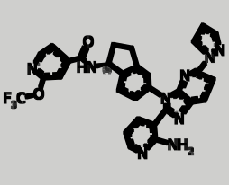 Nc1ncccc1-c1nc2ccc(-n3cccn3)nc2n1-c1ccc2c(c1)CC[C@@H]2NC(=O)c1ccnc(OC(F)(F)F)c1